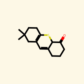 CC1(C)CCC2=C(C=C3CCCC(=O)C3S2)C1